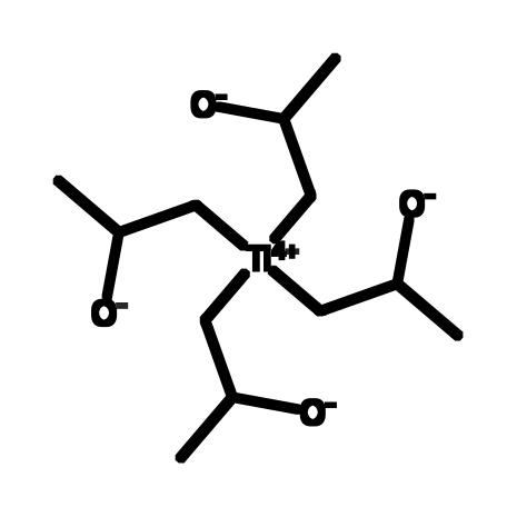 CC([O-])[CH2][Ti+4]([CH2]C(C)[O-])([CH2]C(C)[O-])[CH2]C(C)[O-]